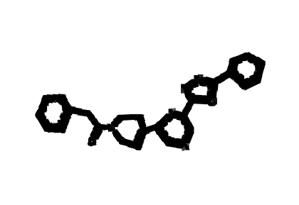 O=C(Cc1ccccc1)N1CC=C(c2cncc(-c3nnc(-c4ccccc4)o3)n2)CC1